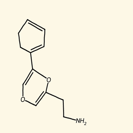 NCCC1=COC=C(C2=CC=CCC2)O1